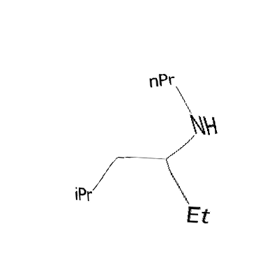 CCCNC(CC)CC(C)C